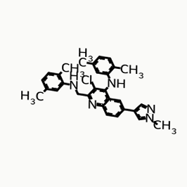 Cc1ccc(C)c(NCc2nc3ccc(-c4cnn(C)c4)cc3c(Nc3cc(C)ccc3C)c2Cl)c1